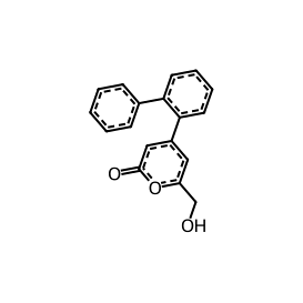 O=c1cc(-c2ccccc2-c2ccccc2)cc(CO)o1